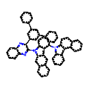 c1ccc(-c2cc(-c3ccccc3)cc(-c3nc4ccccc4nc3-n3c4cc5ccccc5cc4c4c(-n5c6ccccc6c6c7ccccc7ccc65)cccc43)c2)cc1